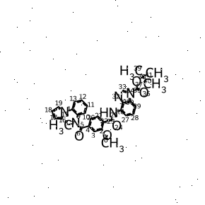 COc1cc(C(=O)N(C)c2ccccc2-n2cccc2)ccc1C(=O)Nc1cccc2c1ncn2C(=O)OC(C)(C)C